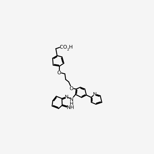 N=C1C=CC=C/C1=N/Nc1cc(-c2ccccn2)ccc1OCCCOc1ccc(CC(=O)O)cc1